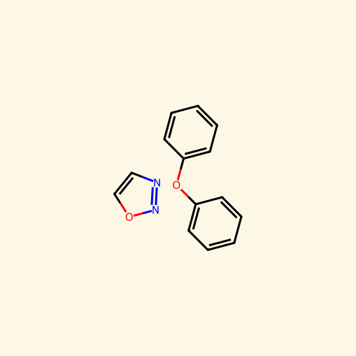 c1ccc(Oc2ccccc2)cc1.c1conn1